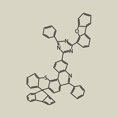 c1ccc(-c2nc(-c3ccc4c(c3)nc(-c3ccccc3)c3ccc5c(c34)Sc3ccccc3C53c4ccccc4-c4ccccc43)nc(-c3cccc4c3oc3ccccc34)n2)cc1